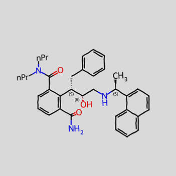 CCCN(CCC)C(=O)c1cccc(C(N)=O)c1[C@H](Cc1ccccc1)[C@@H](O)CN[C@@H](C)c1cccc2ccccc12